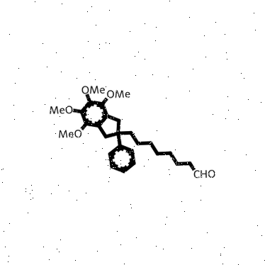 COc1c2c(c(OC)c(OC)c1OC)CC(CCCCCCCC=O)(c1ccccc1)C2